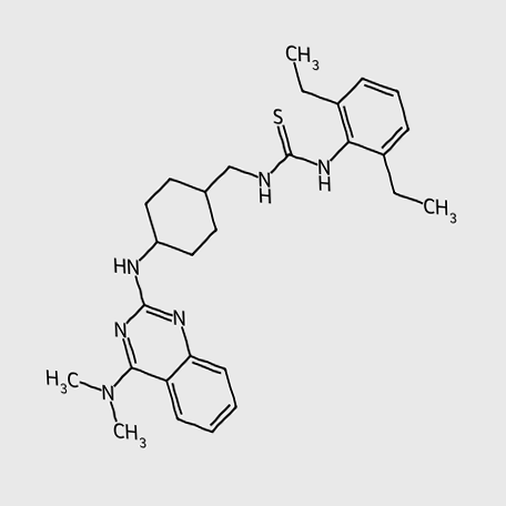 CCc1cccc(CC)c1NC(=S)NCC1CCC(Nc2nc(N(C)C)c3ccccc3n2)CC1